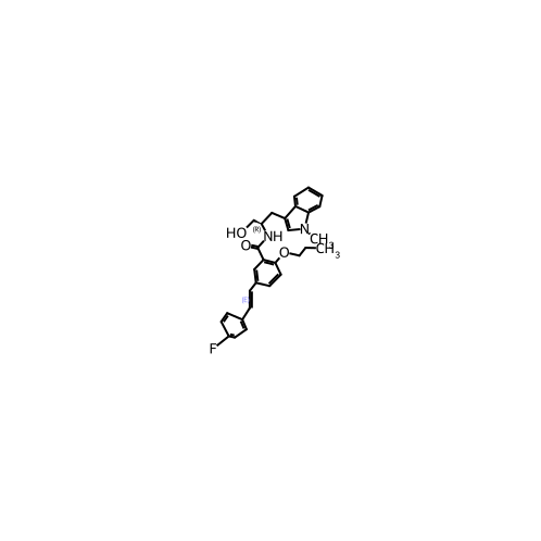 CCCOc1ccc(/C=C/c2ccc(F)cc2)cc1C(=O)N[C@@H](CO)Cc1cn(C)c2ccccc12